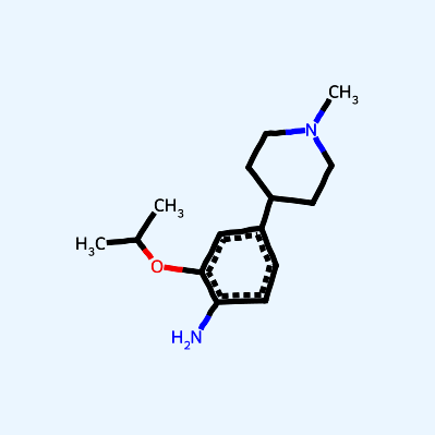 CC(C)Oc1cc(C2CCN(C)CC2)ccc1N